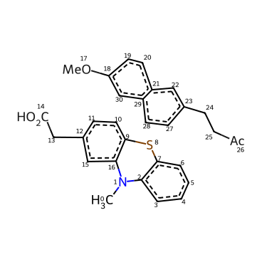 CN1c2ccccc2Sc2ccc(CC(=O)O)cc21.COc1ccc2cc(CCC(C)=O)ccc2c1